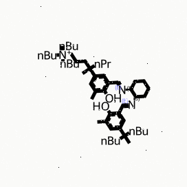 CCCCC(C)(CCCC)c1cc(C)c(O)c(/C=N/[C@H]2CCCC[C@@H]2/N=C/c2cc(C(C)(CCC)CCC[N+](CCCC)(CCCC)CCCC)cc(C)c2O)c1